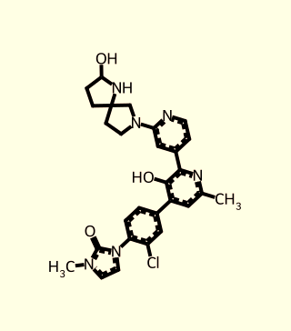 Cc1cc(-c2ccc(-n3ccn(C)c3=O)c(Cl)c2)c(O)c(-c2ccnc(N3CCC4(CCC(O)N4)C3)c2)n1